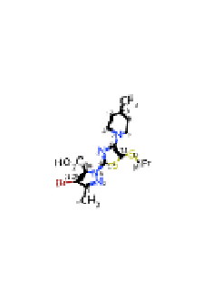 Cc1nn(-c2nc(N3CCC(C(F)(F)F)CC3)c(SC(C)C)s2)c(C(=O)O)c1Br